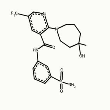 CC1(O)CCCN(c2ncc(C(F)(F)F)cc2C(=O)Nc2cccc(S(N)(=O)=O)c2)CC1